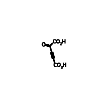 O=C(O)C#CC(=O)C(=O)O